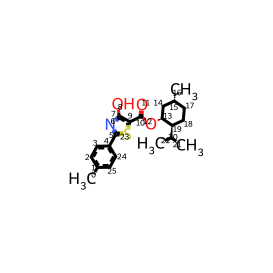 Cc1ccc(-c2nc(O)c(C(=O)O[C@@H]3C[C@H](C)CC[C@H]3C(C)C)s2)cc1